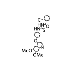 COc1cc2nccc(Oc3ccc(NC(=S)NC(=O)c4ccccc4Cl)cc3)c2cc1OC